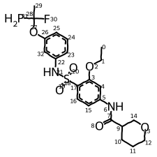 CCOc1cc(NC(=O)C2CCCOC2)ccc1S(=O)(=O)Nc1cccc(OC(C)(F)P)c1